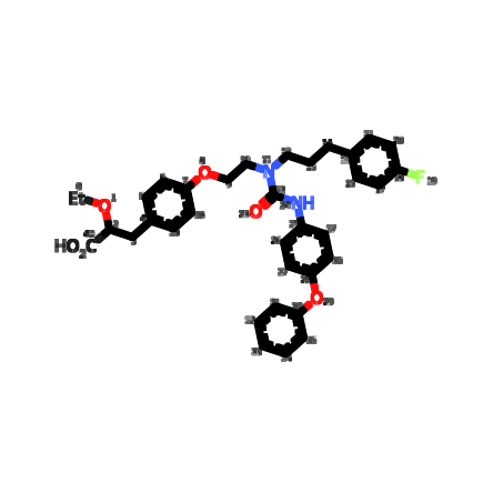 CCOC(Cc1ccc(OCCN(CCCc2ccc(F)cc2)C(=O)Nc2ccc(Oc3ccccc3)cc2)cc1)C(=O)O